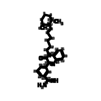 C[C@@H]1CCC[C@H](C)N1CCCCCCn1c(=O)c(-c2cccc(C(=N)N)c2)nc2ccccc21